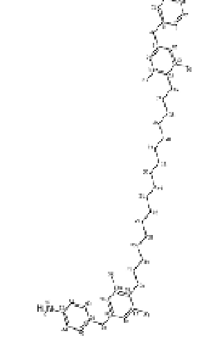 Cc1cc(Cc2ccc(N)cc2)cc(C)c1CCCCCCCCCCCCCCCCCc1c(C)cc(Cc2ccc(N)cc2)cc1C